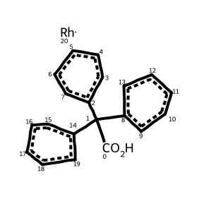 O=C(O)C(c1ccccc1)(c1ccccc1)c1ccccc1.[Rh]